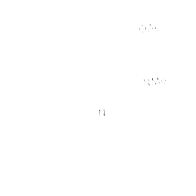 CNC(COC(C)=O)c1ccc2ccccc2n1